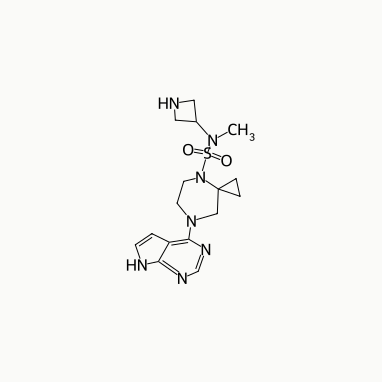 CN(C1CNC1)S(=O)(=O)N1CCN(c2ncnc3[nH]ccc23)CC12CC2